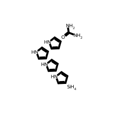 NC(N)=O.[SiH4].c1cc[nH]c1.c1cc[nH]c1.c1cc[nH]c1.c1cc[nH]c1